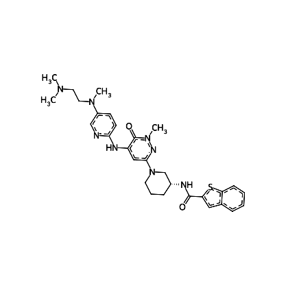 CN(C)CCN(C)c1ccc(Nc2cc(N3CCC[C@@H](NC(=O)c4cc5ccccc5s4)C3)nn(C)c2=O)nc1